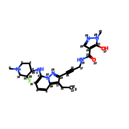 CN1CC[C@@H](Nc2cccc3c(CC(F)(F)F)c(C#CCNC(=O)c4cnn(C)c4O)nn23)[C@@H](F)C1